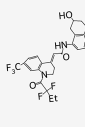 CCC(F)(F)C(=O)N1CCC(=CC(=O)Nc2cccc3c2CC(O)CC3)c2ccc(C(F)(F)F)cc21